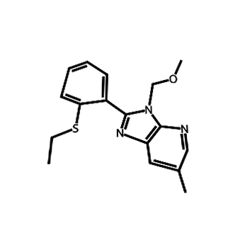 CCSc1ccccc1-c1nc2cc(C)cnc2n1COC